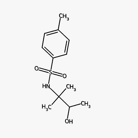 Cc1ccc(S(=O)(=O)NC(C)(C)C(C)O)cc1